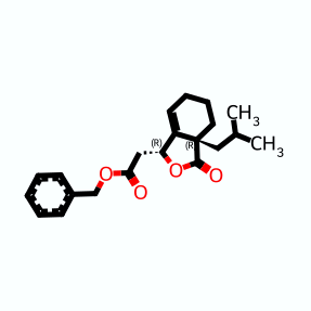 CC(C)C[C@]12CCCC=C1[C@@H](CC(=O)OCc1ccccc1)OC2=O